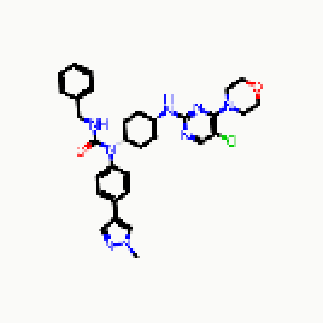 Cn1cc(-c2ccc(N(C(=O)NCc3ccccc3)[C@H]3CC[C@H](Nc4ncc(Cl)c(N5CCOCC5)n4)CC3)cc2)cn1